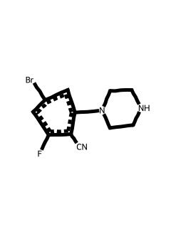 N#Cc1c(F)cc(Br)cc1N1CCNCC1